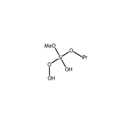 CO[Si](O)(OO)OC(C)C